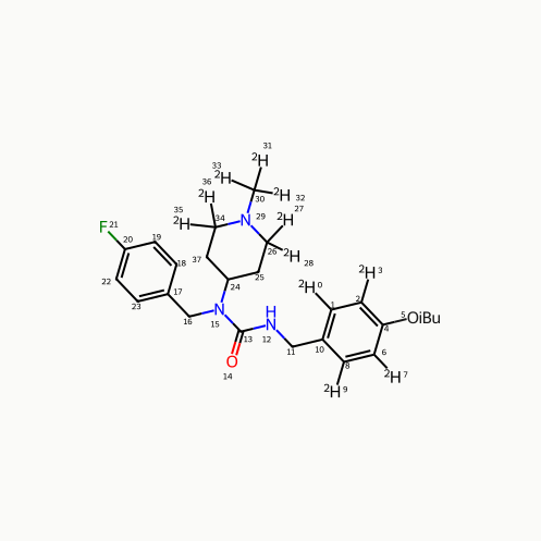 [2H]c1c([2H])c(OCC(C)C)c([2H])c([2H])c1CNC(=O)N(Cc1ccc(F)cc1)C1CC([2H])([2H])N(C([2H])([2H])[2H])C([2H])([2H])C1